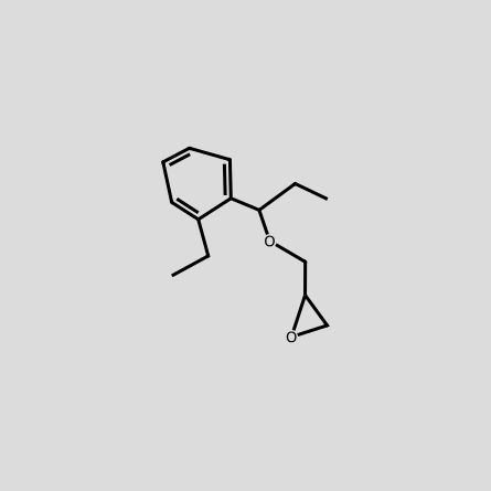 CCc1ccccc1C(CC)OCC1CO1